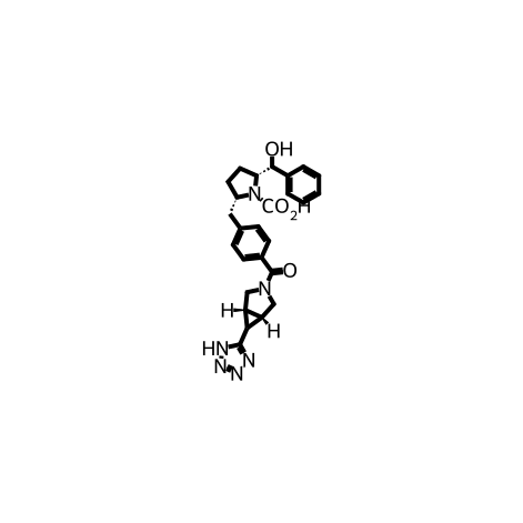 O=C(c1ccc(C[C@@H]2CC[C@H](C(O)c3ccccc3)N2C(=O)O)cc1)N1C[C@@H]2C(c3nnn[nH]3)[C@@H]2C1